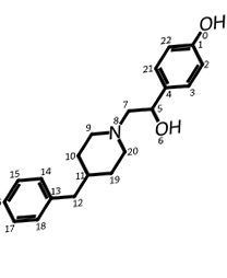 Oc1ccc(C(O)CN2CCC(Cc3ccccc3)CC2)cc1